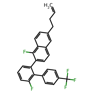 C=CCCc1ccc2c(F)c(-c3cccc(F)c3-c3ccc(C(F)(F)F)cc3)ccc2c1